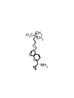 C[Si](C)(C)CCOCn1cnc2nc([C@H](N)C3CC3)ccc21